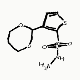 NNS(=O)(=O)c1sccc1C1OCCCO1